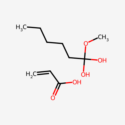 C=CC(=O)O.CCCCCC(O)(O)OC